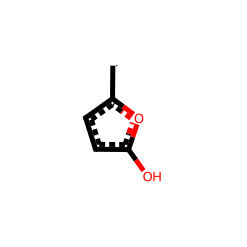 [CH2]c1ccc(O)o1